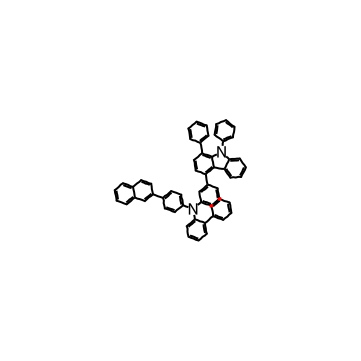 c1ccc(-c2ccccc2N(c2ccc(-c3ccc4ccccc4c3)cc2)c2cccc(-c3ccc(-c4ccccc4)c4c3c3ccccc3n4-c3ccccc3)c2)cc1